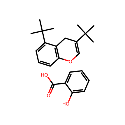 CC(C)(C)C1=COc2cccc(C(C)(C)C)c2C1.O=C(O)c1ccccc1O